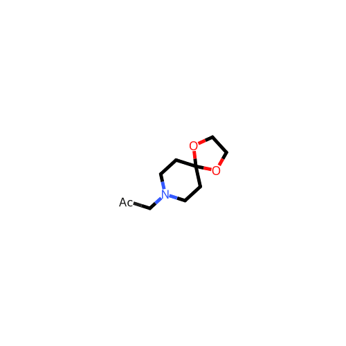 CC(=O)CN1CCC2(CC1)OCCO2